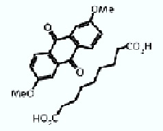 COc1ccc2c(c1)C(=O)c1ccc(OC)cc1C2=O.O=C(O)CCCCCCCC(=O)O